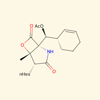 CCCCCC[C@H]1C(=O)N[C@@]2([C@@H](OC(C)=O)[C@@H]3C=CCCC3)C(=O)O[C@@]12C